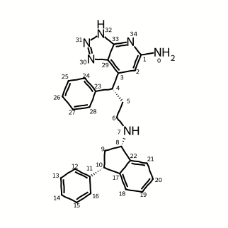 Nc1cc([C@H](CCN[C@H]2C[C@@H](c3ccccc3)c3ccccc32)c2ccccc2)c2nn[nH]c2n1